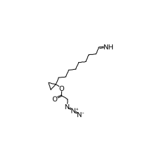 [N-]=[N+]=NCC(=O)OC1(CCCCCCCCC=N)CC1